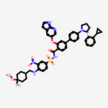 COC1(C)CCC(CNc2ccc(S(=O)(=O)NC(=O)c3ccc(-c4ccc(N5CCC[C@@H]5c5ccccc5C5CC5)cc4)cc3Oc3cnc4[nH]ccc4c3)cc2[N+](=O)[O-])CC1